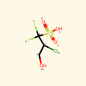 O=S(=O)(O)C(F)(F)C(Cl)CO